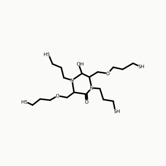 O=C1C(COCCCS)N(CCCS)C(O)C(COCCCS)N1CCCS